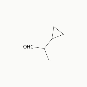 [CH2]C(C=O)C1CC1